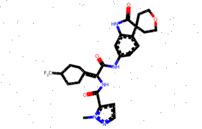 Cn1nccc1C(=O)NC(C(=O)Nc1ccc2c(c1)NC(=O)C21CCOCC1)=C1CCC(C(F)(F)F)CC1